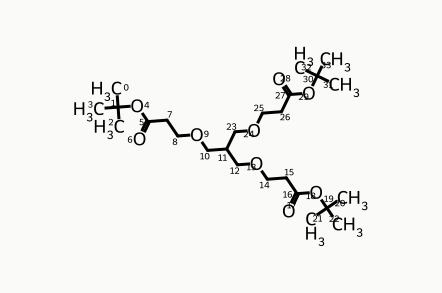 CC(C)(C)OC(=O)CCOCC(COCCC(=O)OC(C)(C)C)COCCC(=O)OC(C)(C)C